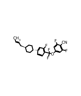 CC=CC[C@H]1CC[C@H](c2ccc(C(F)(F)Oc3cc(F)c(C#N)c(F)c3)c(F)c2)CC1